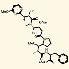 CC[C@H](C)[C@@H]([C@@H](CC(=O)N1CCC[C@H]1[C@H](OC)[C@@H](C)C(=O)N[C@@H](Cc1ccccc1)C(=O)OC)OC)N(C)C(=O)[C@@H](Nc1nccc(OC)n1)C(C)C